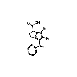 O=C(c1ccccc1)c1c(Br)c(Br)c2n1CCC2C(=O)O